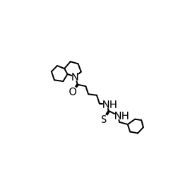 O=C(CCCCNC(=S)NCC1CCCCC1)N1CCCC2CCCCC21